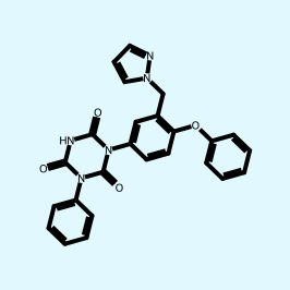 O=c1[nH]c(=O)n(-c2ccc(Oc3ccccc3)c(Cn3cccn3)c2)c(=O)n1-c1ccccc1